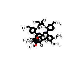 CCc1ccc(/C(=C/C2(/C=C(\c3ccc(OC)c(OC)c3)c3ccc(CC)cc3NCCCCl)OC(=O)c3c(Cl)c(Cl)c(Cl)c(Cl)c32)c2ccc(OC)c(OC)c2)c(NCCCCl)c1